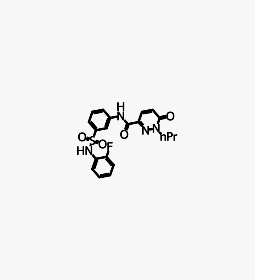 CCCn1nc(C(=O)Nc2cccc(S(=O)(=O)Nc3ccccc3F)c2)ccc1=O